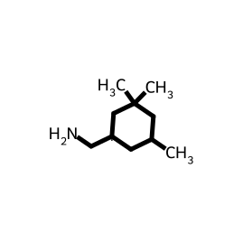 CC1C[C](CN)CC(C)(C)C1